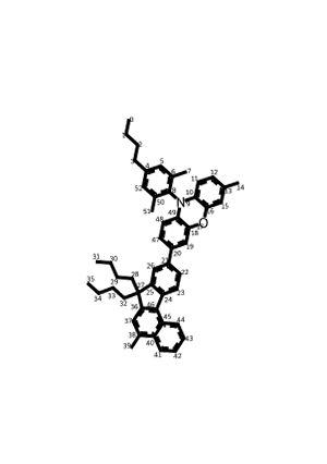 CCCCc1cc(C)c(N2c3ccc(C)cc3Oc3cc(-c4ccc5c(c4)C(CCCC)(CCCC)c4cc(C)c6ccccc6c4-5)ccc32)c(C)c1